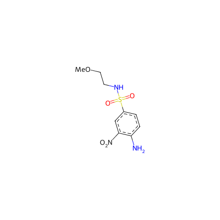 COCCNS(=O)(=O)c1ccc(N)c([N+](=O)[O-])c1